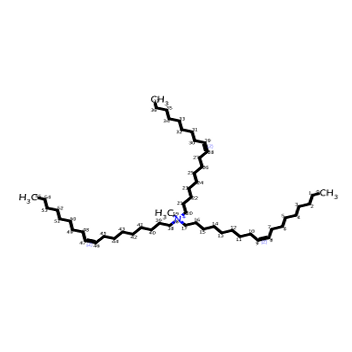 CCCCCCCC/C=C\CCCCCCCC[N+](C)(CCCCCCCC/C=C\CCCCCCCC)CCCCCCCC/C=C\CCCCCCCC